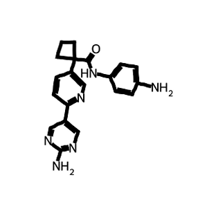 Nc1ccc(NC(=O)C2(c3ccc(-c4cnc(N)nc4)nc3)CCC2)cc1